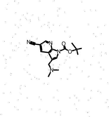 CN(C)Cc1cn(C(=O)OC(C)(C)C)c2ncc(C#N)cc12